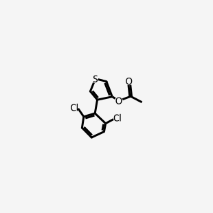 CC(=O)Oc1cscc1-c1c(Cl)cccc1Cl